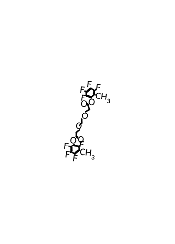 Cc1c(F)c(F)c(F)c(OC(=O)CCOCCOCCC(=O)Oc2c(C)c(F)c(F)c(F)c2F)c1F